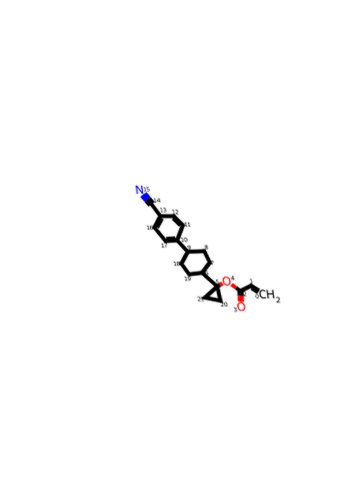 C=CC(=O)OC1(C2CCC(c3ccc(C#N)cc3)CC2)CC1